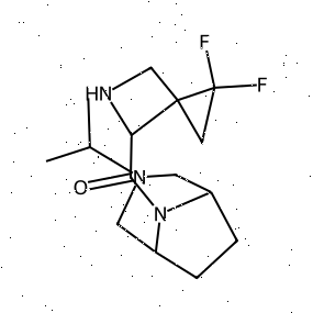 CC(C)N1CC2CCC(C1)N2C(=O)C1NCC12CC2(F)F